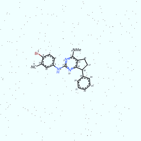 CNc1nc(Nc2ccc(Br)c(C#N)c2)nc2c1CCC2c1ccccc1